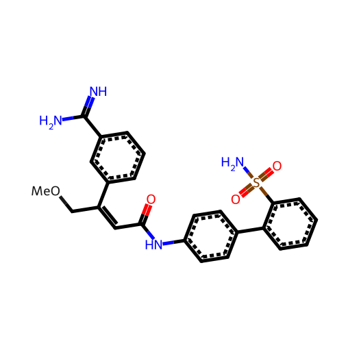 COCC(=CC(=O)Nc1ccc(-c2ccccc2S(N)(=O)=O)cc1)c1cccc(C(=N)N)c1